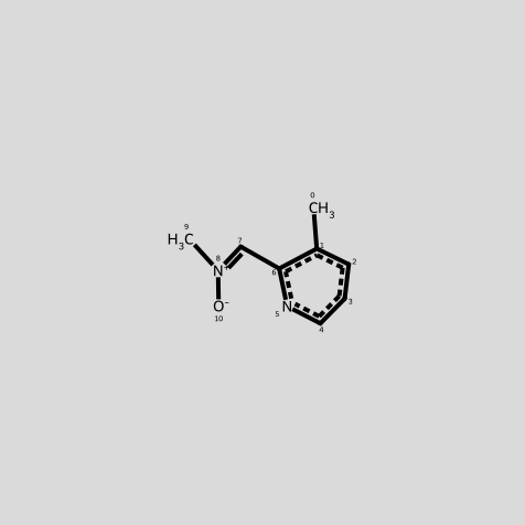 Cc1cccnc1/C=[N+](/C)[O-]